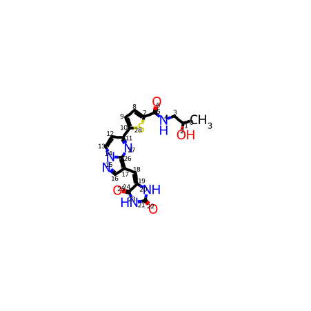 CC(O)CNC(=O)c1ccc(-c2ccn3ncc(/C=C4/NC(=O)NC4=O)c3n2)s1